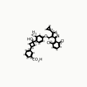 Cc1cc(OCc2c(-c3c(Cl)cccc3Cl)nsc2C2CC2)ccc1C1(O)CC(c2cccc(C(=O)O)c2)C1